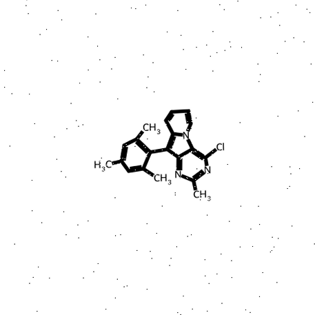 Cc1cc(C)c(-c2c3nc(C)nc(Cl)c3n3ccccc23)c(C)c1